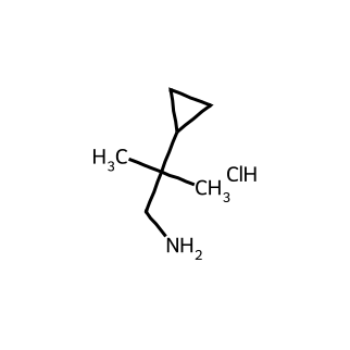 CC(C)(CN)C1CC1.Cl